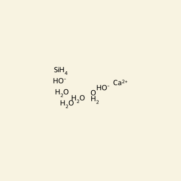 O.O.O.O.[Ca+2].[OH-].[OH-].[SiH4]